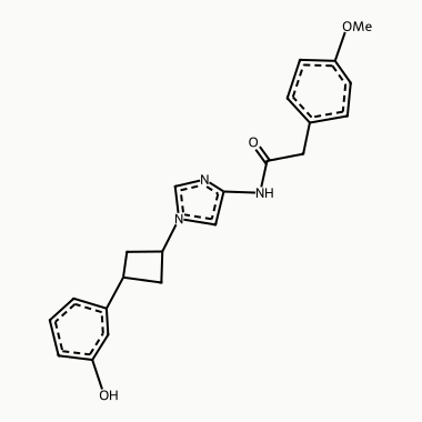 COc1ccc(CC(=O)Nc2cn(C3CC(c4cccc(O)c4)C3)cn2)cc1